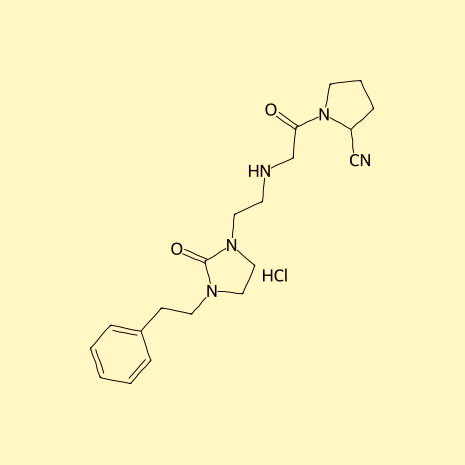 Cl.N#CC1CCCN1C(=O)CNCCN1CCN(CCc2ccccc2)C1=O